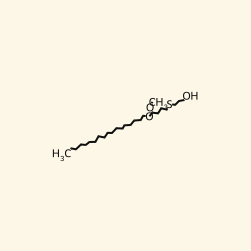 CCCCCCCCCCCCCCCCCCOC(CCCSCCCO)OC